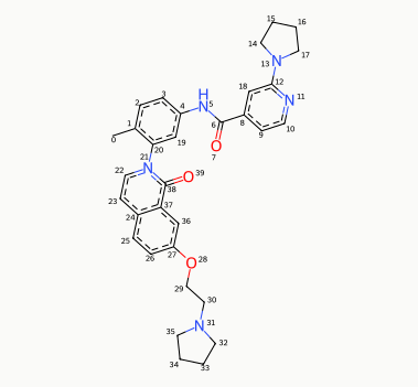 Cc1ccc(NC(=O)c2ccnc(N3CCCC3)c2)cc1-n1ccc2ccc(OCCN3CCCC3)cc2c1=O